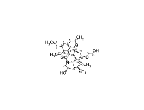 C=CCc1cc(CC=C)c(C(=O)c2ccc(OC)c(OCCO)c2)c(CC(=O)N(CCO)CCOC)c1CC